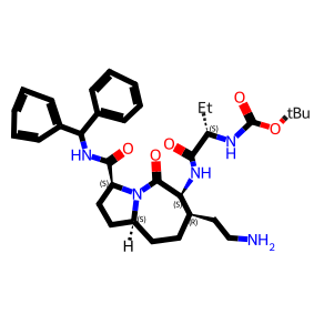 CC[C@H](NC(=O)OC(C)(C)C)C(=O)N[C@@H]1C(=O)N2[C@@H](CC[C@@H]1CCN)CC[C@H]2C(=O)NC(c1ccccc1)c1ccccc1